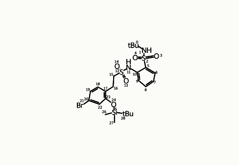 CC(C)(C)NS(=O)(=O)c1ccccc1NS(=O)(=O)CCc1ccc(Br)cc1O[Si](C)(C)C(C)(C)C